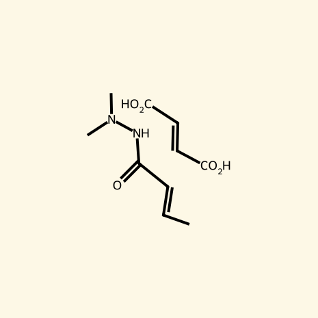 CC=CC(=O)NN(C)C.O=C(O)C=CC(=O)O